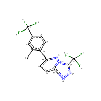 Cc1cc(C(F)(F)F)ccc1-c1ccc2nnc(C(F)(F)F)n2n1